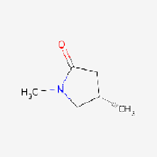 C[C@H]1CC(=O)N(C)C1